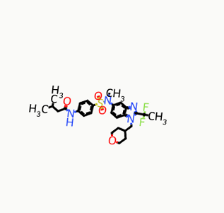 CC(C)CC(=O)Nc1ccc(S(=O)(=O)N(C)c2ccc3c(c2)nc(C(C)(F)F)n3CC2CCOCC2)cc1